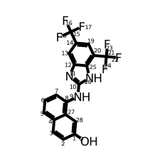 Oc1ccc2cccc(Nc3nc4cc(C(F)(F)F)cc(C(F)(F)F)c4[nH]3)c2c1